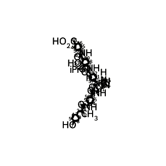 C/C(=C\c1ccc(O)cc1)C(=O)Nc1ccc(C(=O)N[C@@H](Cc2c[nH]nn2)C(=O)Nc2ccc(C(=O)Nc3ccc(C(=O)Nc4ccc(C(=O)O)cc4)c(O)c3OC(C)C)nc2)cc1